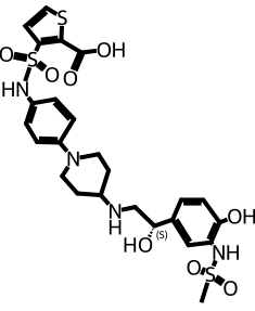 CS(=O)(=O)Nc1cc([C@H](O)CNC2CCN(c3ccc(NS(=O)(=O)c4ccsc4C(=O)O)cc3)CC2)ccc1O